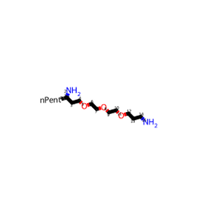 CCCCCC(N)CCOCCOCCOCCCN